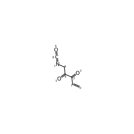 C=CC(=O)C(=O)CN=C=O